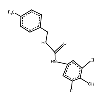 O=C(NCc1ccc(C(F)(F)F)cc1)Nc1cc(Cl)c(O)c(Cl)c1